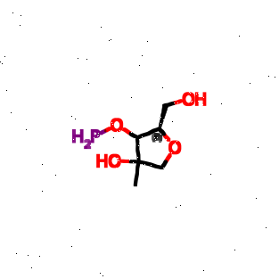 CC1(O)CO[C@H](CO)C1OP